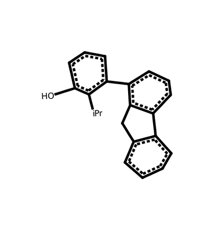 CC(C)c1c(O)cccc1-c1cccc2c1Cc1ccccc1-2